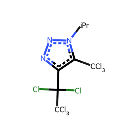 CC(C)n1nnc(C(Cl)(Cl)C(Cl)(Cl)Cl)c1C(Cl)(Cl)Cl